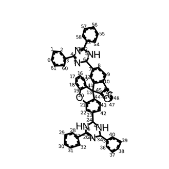 c1ccc(C2=NC(c3ccc4c(c3)C3(c5ccccc5Oc5cc(C6NC(c7ccccc7)=NC(c7ccccc7)N6)ccc53)c3ccccc3-4)NC(c3ccccc3)=N2)cc1